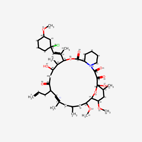 C=CCC1/C=C(\C)CC(C)CC(OC)C2OC(O)(C(=O)C(=O)N3CCCCC3C(=O)OC(C(C)=CC3(Cl)CCCC(OC)C3)C(C)C(O)CC1=O)C(C)CC2OC